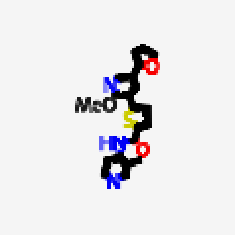 COc1ncc(-c2ccco2)cc1-c1ccc(C(=O)Nc2ccncc2C)s1